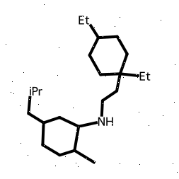 CCC1CCC(CC)(CCNC2CC(CC(C)C)CCC2C)CC1